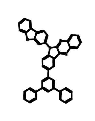 c1ccc(-c2cc(-c3ccccc3)cc(-c3ccc4c(c3)c3nc5ccccc5nc3n4-c3ccc4c(c3)oc3ccccc34)c2)cc1